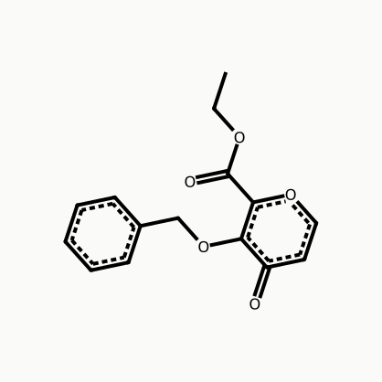 CCOC(=O)c1occc(=O)c1OCc1ccccc1